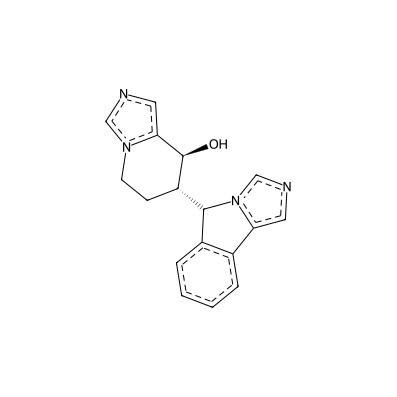 O[C@@H]1c2cncn2CC[C@H]1C1c2ccccc2-c2cncn21